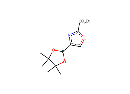 CCOC(=O)c1nc(B2OC(C)(C)C(C)(C)O2)co1